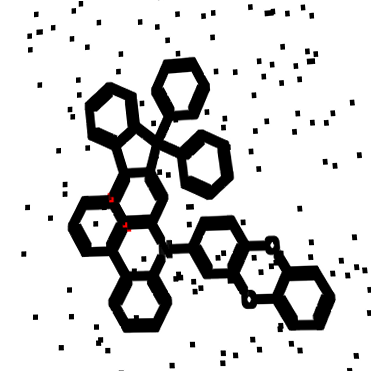 c1ccc(-c2ccccc2N(c2ccc3c(c2)Oc2ccccc2O3)c2ccc3c(c2)C(c2ccccc2)(c2ccccc2)c2ccccc2-3)cc1